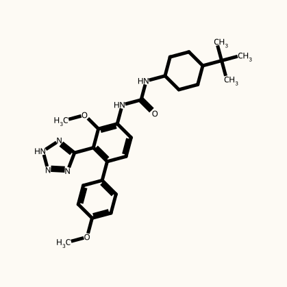 COc1ccc(-c2ccc(NC(=O)NC3CCC(C(C)(C)C)CC3)c(OC)c2-c2nn[nH]n2)cc1